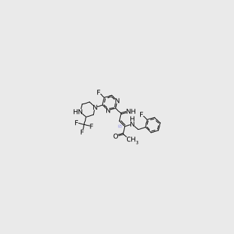 CC(=O)/C(=C/C(=N)c1ncc(F)c(N2CCNC(C(F)(F)F)C2)n1)NCc1ccccc1F